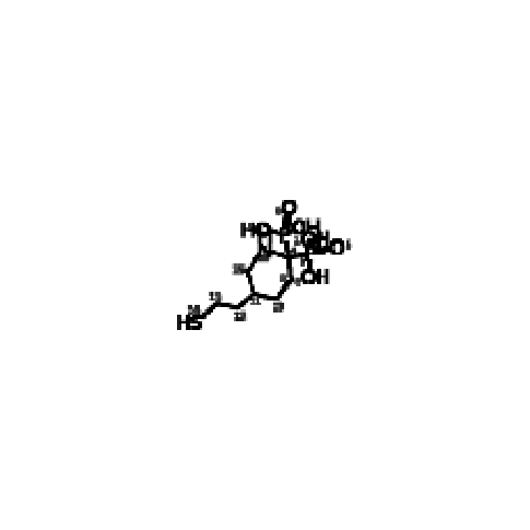 O=P(O)(O)C1(P(=O)(O)O)CCC(CCS)CN1